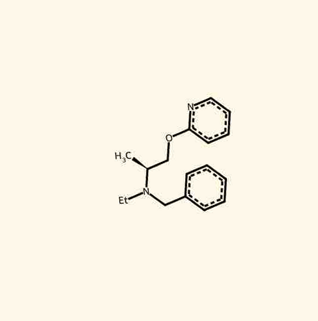 CCN(Cc1ccccc1)[C@@H](C)COc1ccccn1